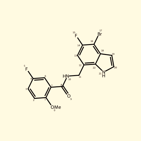 COc1ccc(F)cc1C(=O)NCc1cc(F)c(Br)c2cc[nH]c12